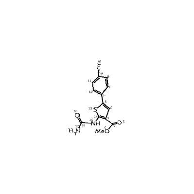 COC(=O)c1cc(-c2ccc(F)cc2)sc1NC(N)=O